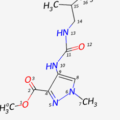 COC(=O)c1nn(C)cc1NC(=O)NCC(C)C